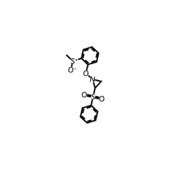 C[S+]([O-])c1ccccc1ON1CC1S(=O)(=O)c1ccccc1